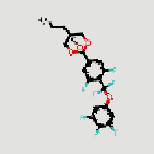 CCCC12COC(c3cc(F)c(C(F)(F)Oc4cc(F)c(F)c(F)c4)c(F)c3)(OC1)OC2